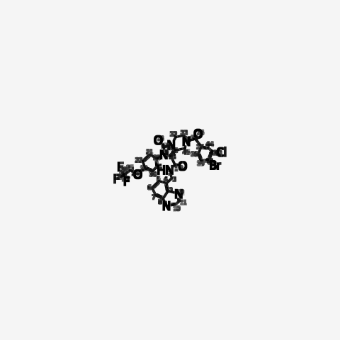 O=C(NCc1cccc2nccnc12)c1c2n(c(=O)n1-c1ccc(OCC(F)(F)F)cc1)CCN(C(=O)c1ccc(Br)c(Cl)c1)C2